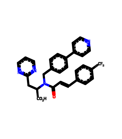 O=C(O)C(Cc1ncccn1)N(Cc1ccc(-c2ccncc2)cc1)C(=O)/C=C/c1ccc(C(F)(F)F)cc1